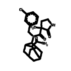 CC1(C(=O)N(Cc2cccc(Cl)c2)C2C3CC4CC(C3)C(C(N)=O)C2C4)CCNC1=O